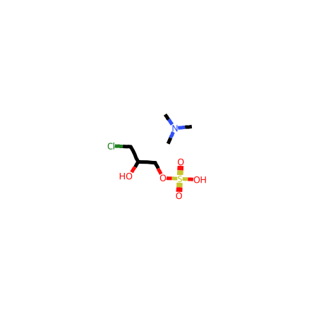 CN(C)C.O=S(=O)(O)OCC(O)CCl